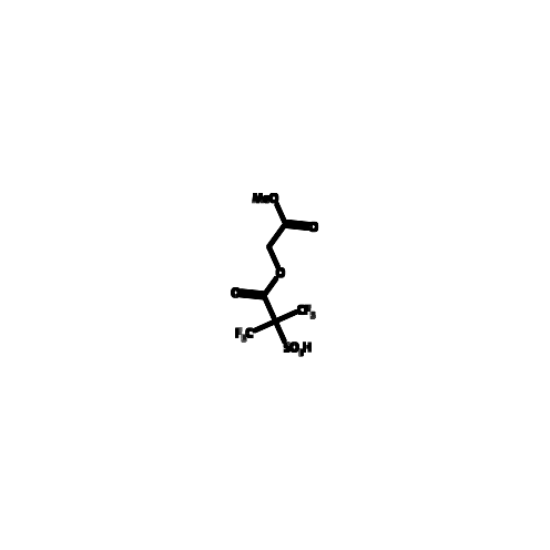 COC(=O)COC(=O)C(C(F)(F)F)(C(F)(F)F)S(=O)(=O)O